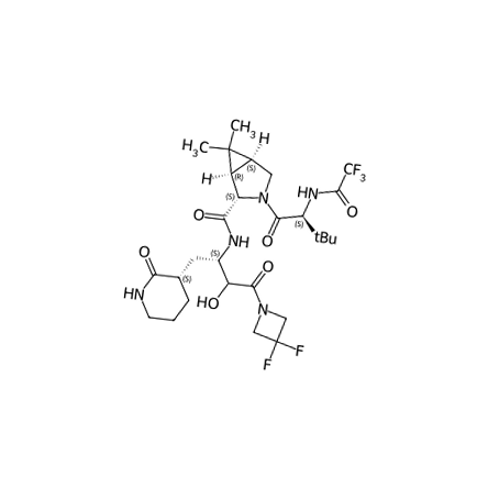 CC(C)(C)[C@H](NC(=O)C(F)(F)F)C(=O)N1C[C@H]2[C@@H]([C@H]1C(=O)N[C@@H](C[C@@H]1CCCNC1=O)C(O)C(=O)N1CC(F)(F)C1)C2(C)C